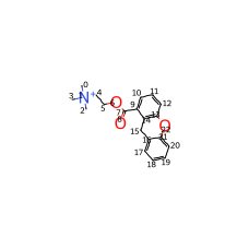 C[N+](C)(C)CCOC(=O)c1cccc2c1Cc1ccccc1O2